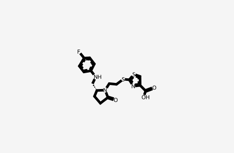 O=C(O)c1csc(SCCN2C(=O)CC[C@@H]2CNc2ccc(F)cc2)n1